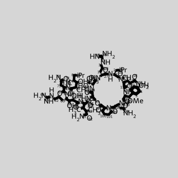 CO[C@H](c1ccc(O)cc1)C1NC(=O)C(CCC(N)=O)N(C)C(=O)[C@H](CC(C)C)NC(=O)[C@@H](CCCNC(=N)N)NC(=O)[C@@H](C(C)O)NC(=O)C(NC(=O)C(NC(=O)[C@H](O)C(O)[C@H](CCCNC(=N)N)NC(=O)C(CC(N)=O)NC(=O)C(C)C(O)[C@H](C)CC(C)C)C(C)[C@@H](C)C(N)=O)C(C)OC(=O)C2CCCCN2C(=O)[C@@H](CC(N)=O)NC1=O